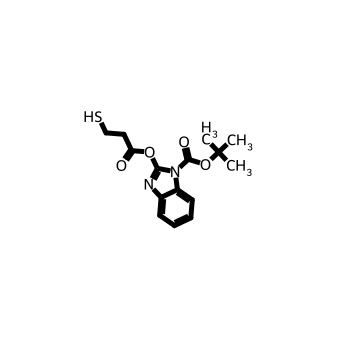 CC(C)(C)OC(=O)n1c(OC(=O)CCS)nc2ccccc21